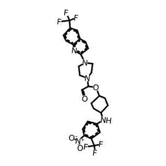 O=CC(OC1CCC(Nc2ccc([N+](=O)[O-])c(C(F)(F)F)c2)CC1)N1CCN(c2ccc3cc(C(F)(F)F)ccc3n2)CC1